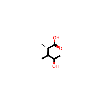 CC(O)C(C)[C@H](C)C(=O)O